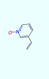 C=Cc1[c][n+]([O-])ccc1